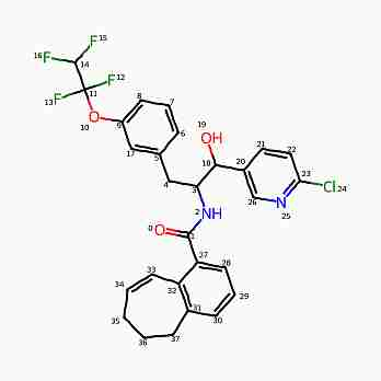 O=C(NC(Cc1cccc(OC(F)(F)C(F)F)c1)C(O)c1ccc(Cl)nc1)c1cccc2c1C=CCCC2